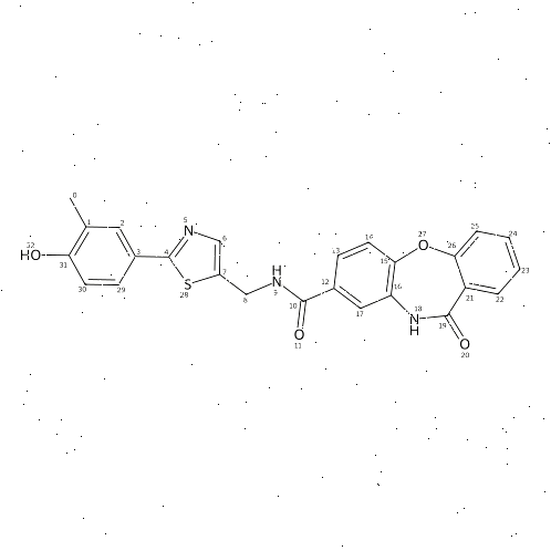 Cc1cc(-c2ncc(CNC(=O)c3ccc4c(c3)NC(=O)c3ccccc3O4)s2)ccc1O